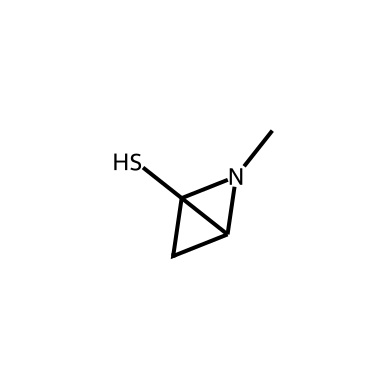 CN1C2CC21S